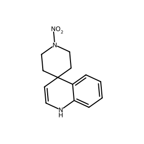 O=[N+]([O-])N1CCC2(C=CNc3ccccc32)CC1